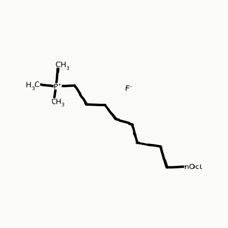 CCCCCCCCCCCCCCCC[P+](C)(C)C.[F-]